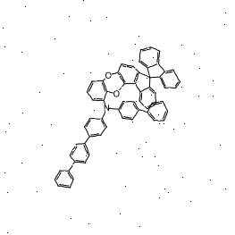 c1ccc(-c2ccc(-c3ccc(N(c4ccc(-c5ccccc5)cc4)c4cccc5c4Oc4c(ccc6c4-c4ccccc4C64c6ccccc6-c6ccccc64)O5)cc3)cc2)cc1